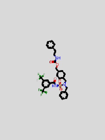 O=C(NCCc1ccccc1)OCC1CCC(CN(Cc2ccccc2)S(=O)(=O)NC(=O)c2cc(C(F)(F)F)cc(C(F)(F)F)c2)CC1